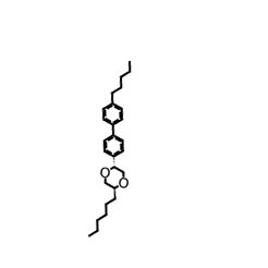 CCCCCC[C@H]1CO[C@H](c2ccc(-c3ccc(CCCCC)cc3)cc2)CO1